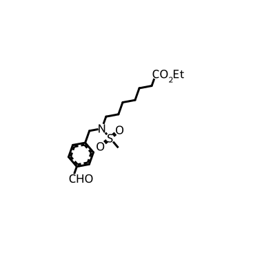 CCOC(=O)CCCCCCN(Cc1ccc(C=O)cc1)S(C)(=O)=O